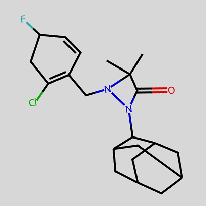 CC1(C)C(=O)N(C2C3CC4CC(C3)CC2C4)N1CC1=C(Cl)CC(F)C=C1